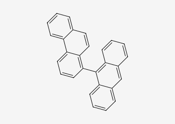 c1ccc2c(-c3cccc4c3ccc3ccccc34)c3ccccc3cc2c1